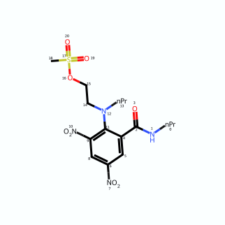 CCCNC(=O)c1cc([N+](=O)[O-])cc([N+](=O)[O-])c1N(CCC)CCOS(C)(=O)=O